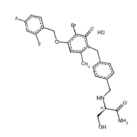 Cc1cc(OCc2ccc(F)cc2F)c(Br)c(=O)n1Cc1ccc(CN[C@H](CO)C(N)=O)cc1.Cl